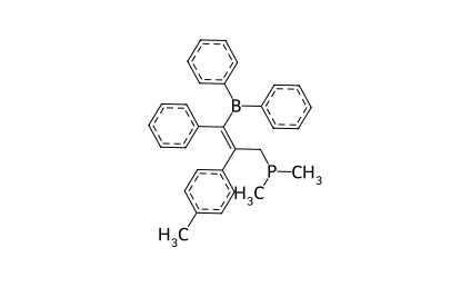 Cc1ccc(/C(CP(C)C)=C(/B(c2ccccc2)c2ccccc2)c2ccccc2)cc1